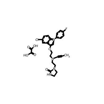 CC#CN(CCOc1cn(-c2ccc(F)cc2)c2ccc(Cl)cc12)CCN1CCNC1=O.O=C(O)C(=O)O